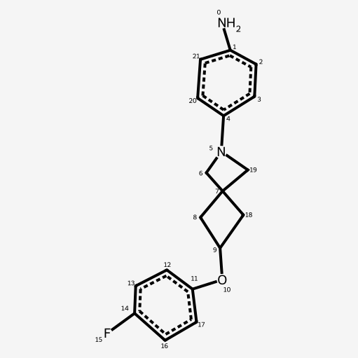 Nc1ccc(N2CC3(CC(Oc4ccc(F)cc4)C3)C2)cc1